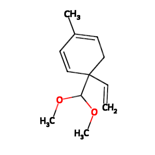 C=CC1(C(OC)OC)C=CC(C)=CC1